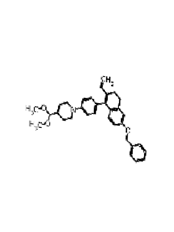 C=CC1=C(c2ccc(N3CCC(C(OC)OC)CC3)cc2)c2ccc(OCc3ccccc3)cc2CC1